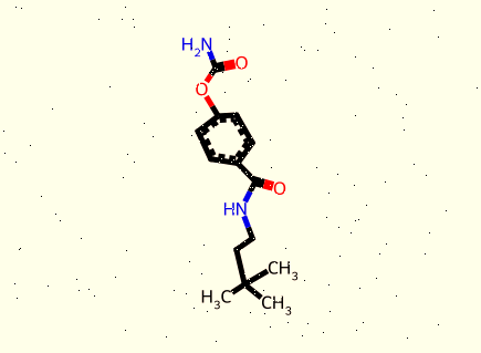 CC(C)(C)CCNC(=O)c1ccc(OC(N)=O)cc1